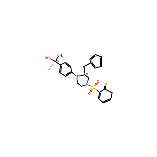 C[C@](O)(c1ccc(N2CCN(S(=O)(=O)C3=CC=CCC3=S)C[C@@H]2Cc2ccccc2)cc1)C(F)(F)F